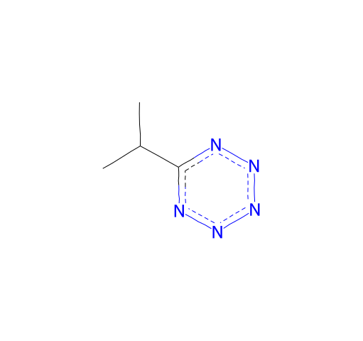 CC(C)c1nnnnn1